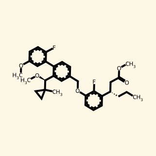 CCC[C@@H](CC(=O)OC)c1cccc(OCc2ccc(-c3cc(OC)ccc3F)c([C@H](OC)C3(C)CC3)c2)c1F